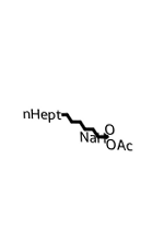 CCCCCCCCCCCCCC(=O)OC(C)=O.[NaH]